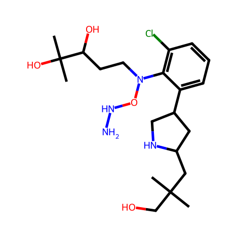 CC(C)(CO)CC1CC(c2cccc(Cl)c2N(CCC(O)C(C)(C)O)ONN)CN1